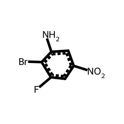 Nc1cc([N+](=O)[O-])cc(F)c1Br